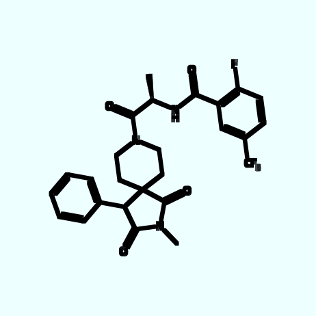 C[C@@H](NC(=O)c1cc(C(F)(F)F)ccc1F)C(=O)N1CCC2(CC1)C(=O)N(C)C(=O)C2c1ccccc1